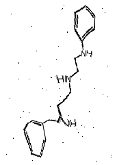 c1ccc(NCCNCCNc2ccccc2)cc1